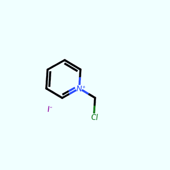 ClC[n+]1ccccc1.[I-]